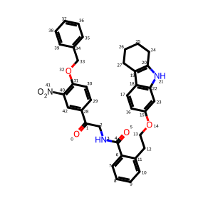 O=C(CNC(=O)c1ccccc1CCOc1ccc2c3c([nH]c2c1)CCCC3)c1ccc(OCc2ccccc2)c([N+](=O)[O-])c1